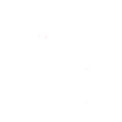 C/C=C/c1ccc(OC)cc1.C=CC(C)(O)CCC=C(C)CCC=C(C)C.C=CCc1ccc(OC)cc1